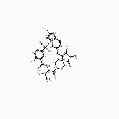 Cc1nc2ccc(CN3C(=O)N(C)C(=O)C34CCN(C(=O)[C@H](NC(=O)c3cc(C(F)(F)F)ccc3F)C(C)C)CC4)cc2[nH]1